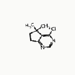 CC1(C)CCc2ncnc(Cl)c21